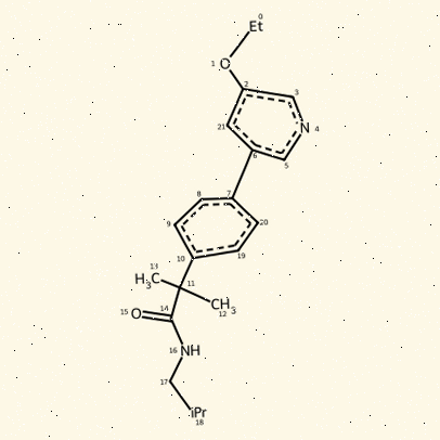 CCOc1cncc(-c2ccc(C(C)(C)C(=O)NCC(C)C)cc2)c1